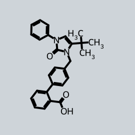 CC(C)(C)c1cn(-c2ccccc2)c(=O)n1Cc1ccc(-c2ccccc2C(=O)O)cc1